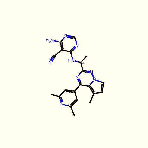 Cc1cc(-c2nc([C@H](C)Nc3ncnc(N)c3C#N)nn3ccc(C)c23)cc(C)n1